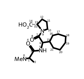 CNC(C)C(=O)NC(C(=O)N1CCC[C@H]1C(=O)O)C1CCCCCC1